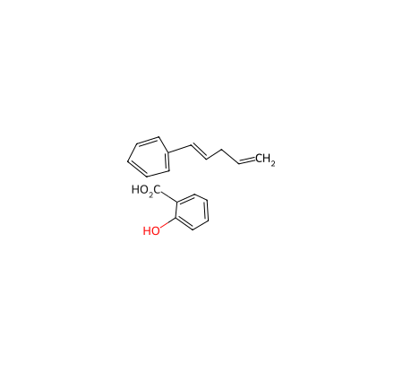 C=CCC=Cc1ccccc1.O=C(O)c1ccccc1O